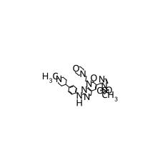 CN1CCC(c2ccc(Nc3ncc4cc(-c5nccn5S(C)(=O)=O)c(=O)n(CCN5CCOCC5)c4n3)cc2)CC1